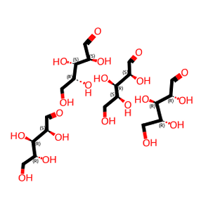 O=C[C@@H](O)[C@@H](O)[C@H](O)CO.O=C[C@@H](O)[C@H](O)[C@@H](O)CO.O=C[C@@H](O)[C@H](O)[C@H](O)CO.O=C[C@H](O)[C@H](O)[C@H](O)CO